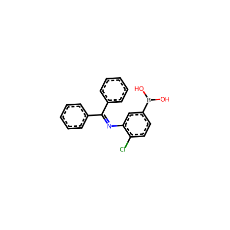 OB(O)c1ccc(Cl)c(N=C(c2ccccc2)c2ccccc2)c1